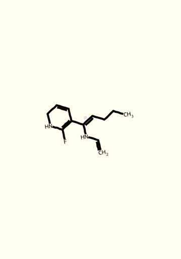 C=CN/C(=C\CCC)C1=C(F)NCC=C1